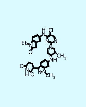 CCN1C(=O)Cc2cc(Nc3nc(N4CC[C@@H](Nc5ccc6c(C7CCC(=O)NC7=O)nn(C)c6c5)[C@H](C)C4)ncc3Cl)ccc21